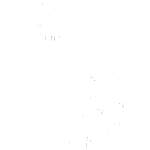 Cc1nc2cccc(NCCSCCNC34CC5CC(CC(C5)C3)C4)c2c(=O)n1C1CCC(=O)NC1=O